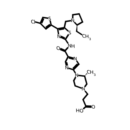 CC[C@@H]1CCCN1Cc1sc(NC(=O)c2cnc(N3CCN(CCC(=O)O)C[C@H]3C)cn2)nc1-c1cc(Cl)cs1